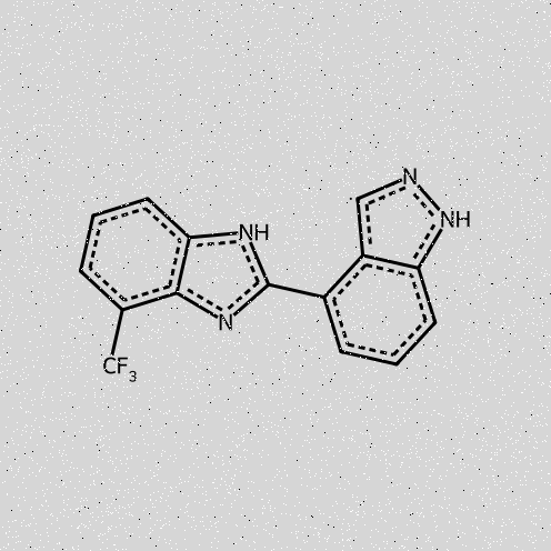 FC(F)(F)c1cccc2[nH]c(-c3cccc4[nH]n[c]c34)nc12